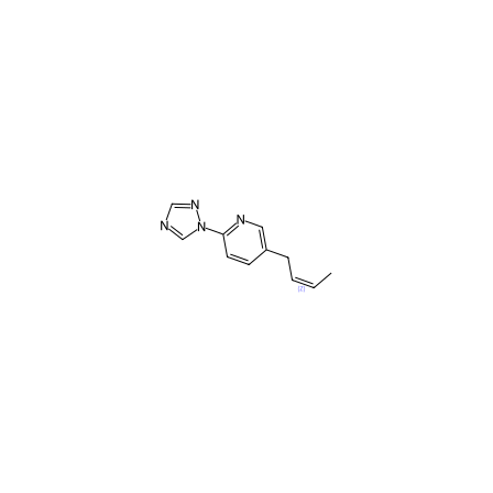 C/C=C\Cc1ccc(-n2cncn2)nc1